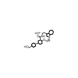 CCCOc1ccc(-c2ccc(CO)cc2)cc1C(=O)N[C@H](CO)Cc1c[nH]c2ccccc12